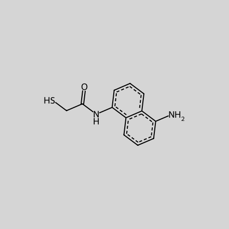 Nc1cccc2c(NC(=O)CS)cccc12